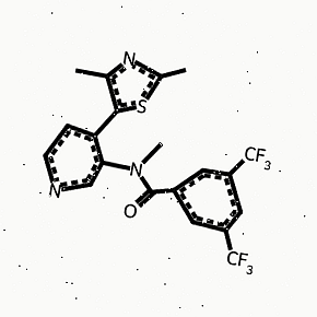 Cc1nc(C)c(-c2ccncc2N(C)C(=O)c2cc(C(F)(F)F)cc(C(F)(F)F)c2)s1